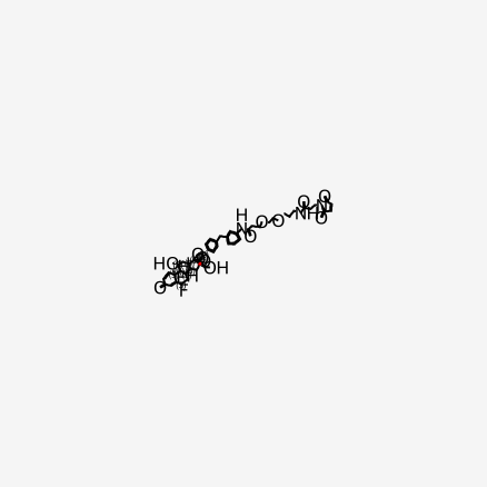 C[C@]12C=CC(=O)C=C1[C@@H](F)C[C@H]1[C@@H]3CC4O[C@@H](c5ccc(Cc6cccc(NC(=O)CCOCCOCCCNC(=O)CCN7C(=O)C=CC7=O)c6)cc5)O[C@@]4(C(=O)CO)[C@@]3(C)C[C@H](O)[C@@]12F